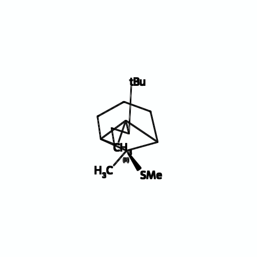 CS[C@]1(C)C2CCCC13CCC(C(C)(C)C)C23C